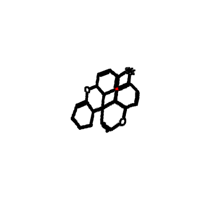 BrC1=CC2C(C=C1)OC1=CCCCC1C21C2C=CC=CC2OC2C=CC(Br)=CC21